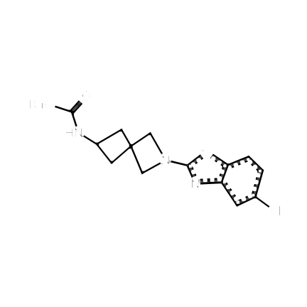 CC(C)COC(=O)NC1CC2(C1)CN(c1nc3cc(Cl)ccc3o1)C2